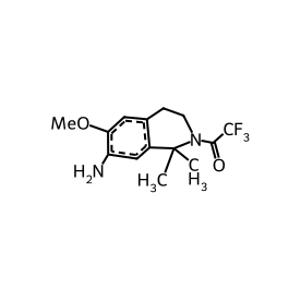 COc1cc2c(cc1N)C(C)(C)N(C(=O)C(F)(F)F)CC2